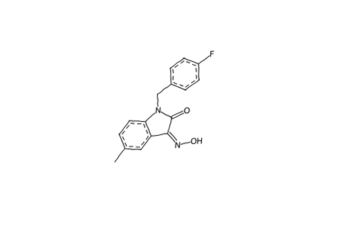 Cc1ccc2c(c1)/C(=N/O)C(=O)N2Cc1ccc(F)cc1